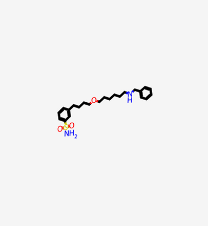 NS(=O)(=O)c1cccc(CCCCOCCCCCCNCc2ccccc2)c1